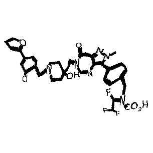 Cn1nc2c(=O)n(CC3(O)CCN(Cc4ccc(-c5ccco5)cc4Cl)CC3)cnc2c1-c1ccc(CN(C(=O)O)C(F)C(F)F)cc1